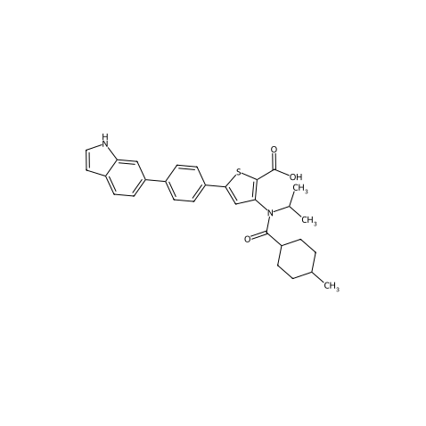 CC1CCC(C(=O)N(c2cc(-c3ccc(-c4ccc5cc[nH]c5c4)cc3)sc2C(=O)O)C(C)C)CC1